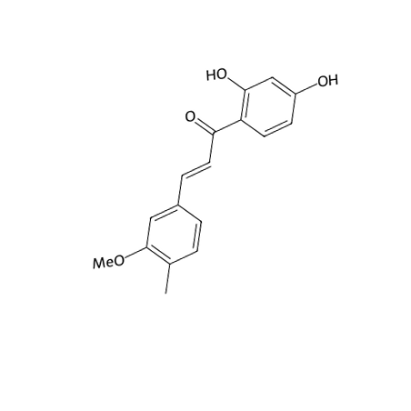 COc1cc(/C=C/C(=O)c2ccc(O)cc2O)ccc1C